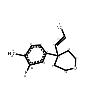 Cc1ccc(C2(/C=C/C#N)CCOCC2)cc1F